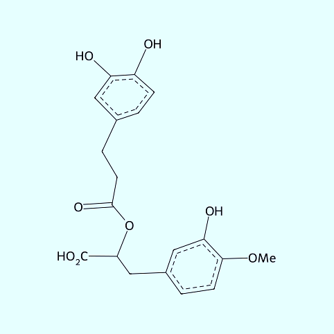 COc1ccc(CC(OC(=O)CCc2ccc(O)c(O)c2)C(=O)O)cc1O